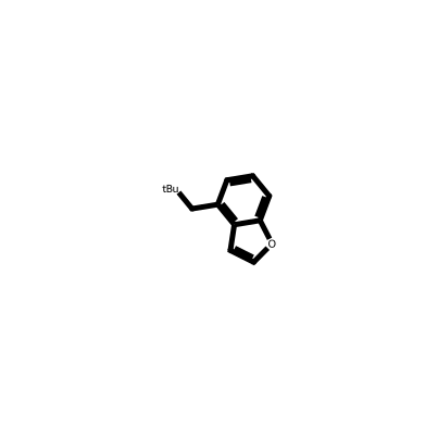 CC(C)(C)Cc1cccc2occc12